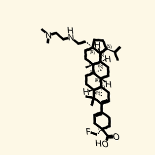 CC(C)[C@@H]1CC[C@]2(CCNCCN(C)C)CC[C@]3(C)[C@H](CC[C@@H]4[C@@]5(C)CC=C(C6=CC[C@](CF)(C(=O)O)CC6)C(C)(C)[C@@H]5CC[C@]43C)[C@@H]12